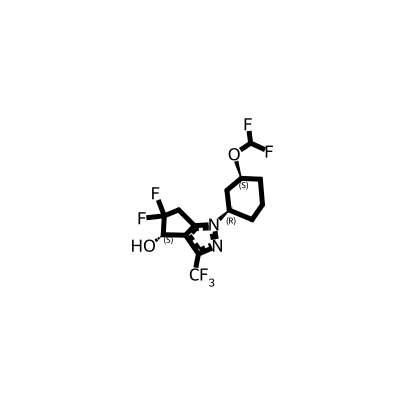 O[C@H]1c2c(C(F)(F)F)nn([C@@H]3CCC[C@H](OC(F)F)C3)c2CC1(F)F